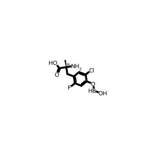 C[C@@](N)(Cc1cc(Cl)c(OBO)cc1F)C(=O)O